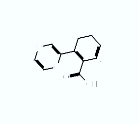 CC(=O)C1=C(C2=COC=CO2)CCC=C1